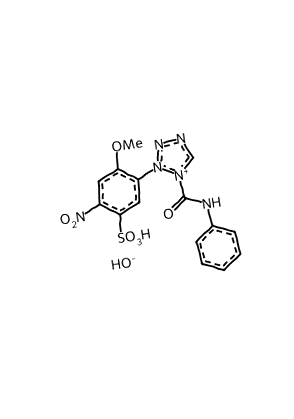 COc1cc([N+](=O)[O-])c(S(=O)(=O)O)cc1-n1nnc[n+]1C(=O)Nc1ccccc1.[OH-]